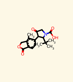 Cc1c(C2C(=O)CN(C(=O)O)C2C(C)(C)C)ccc2c1COC2=O